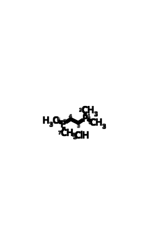 CP(C)CCP(C)C.Cl